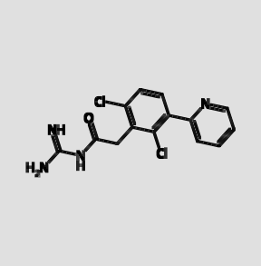 N=C(N)NC(=O)Cc1c(Cl)ccc(-c2ccccn2)c1Cl